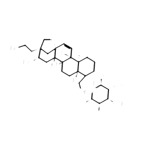 C[C@H]1O[C@@H](O[C@H]2CC[C@@]3(C)[C@@H](CC[C@]4(C)[C@@H]3C=C[C@@]35C[C@@](CCC(C)(C)C)(CO3)[C@H](O)C[C@]54C)[C@]2(C)CO)[C@H](O)[C@@H](O)[C@H]1O